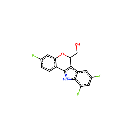 OCC1Oc2cc(F)ccc2-c2[nH]c3c(F)cc(F)cc3c21